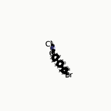 Cl/C=C/CO[C@H]1CC[C@H](C2CCC(c3ccc(Br)cc3)CC2)CC1